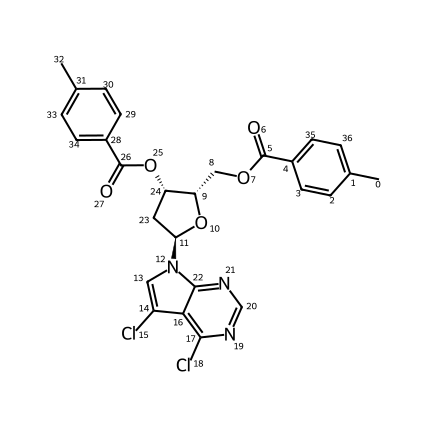 Cc1ccc(C(=O)OC[C@@H]2O[C@@H](n3cc(Cl)c4c(Cl)ncnc43)C[C@@H]2OC(=O)c2ccc(C)cc2)cc1